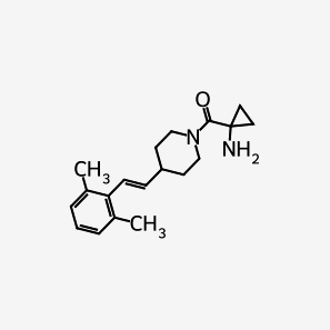 Cc1cccc(C)c1/C=C/C1CCN(C(=O)C2(N)CC2)CC1